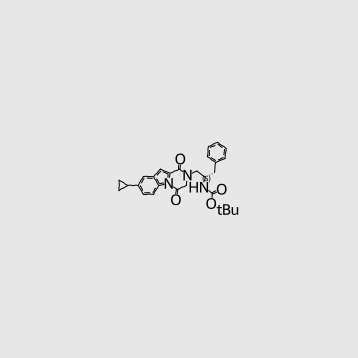 CC(C)(C)OC(=O)N[C@@H](Cc1ccccc1)CN1CC(=O)n2c(cc3cc(C4CC4)ccc32)C1=O